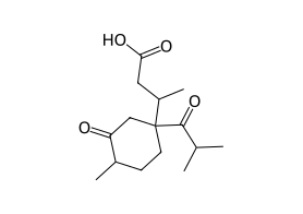 CC(C)C(=O)C1(C(C)CC(=O)O)CCC(C)C(=O)C1